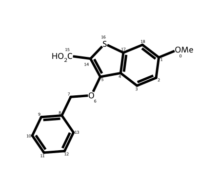 COc1ccc2c(OCc3ccccc3)c(C(=O)O)sc2c1